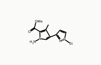 CCn1ccc(-c2cn(N)c(C(=O)OC)c2C)n1